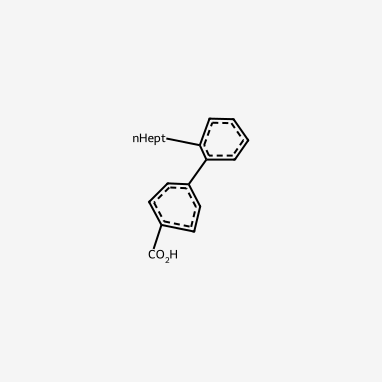 CCCCCCCc1ccccc1-c1ccc(C(=O)O)cc1